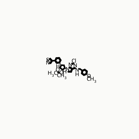 COc1ccc(CNc2nc(Cl)nc3c2ccn3[C@@H]2C[C@H](c3cccc(-c4cnsc4)c3)[C@H]3OC(C)(C)O[C@H]32)cc1